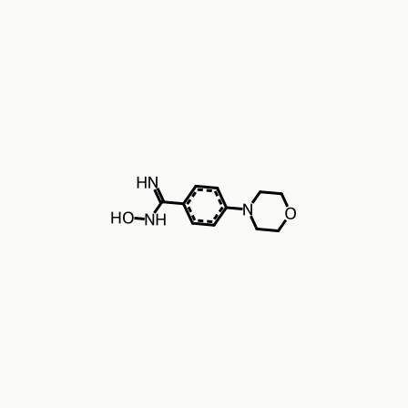 N=C(NO)c1ccc(N2CCOCC2)cc1